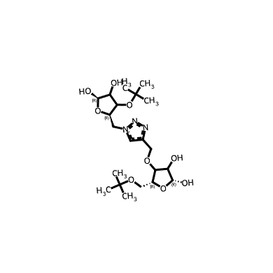 CC(C)(C)OC[C@H]1O[C@@H](O)C(O)C1OCc1cn(C[C@H]2O[C@@H](O)C(O)C2OC(C)(C)C)nn1